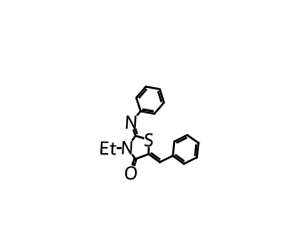 CCN1C(=O)C(=Cc2ccccc2)SC1=Nc1ccccc1